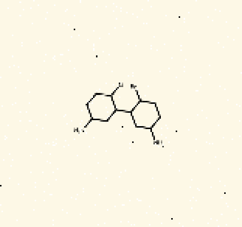 NC1CCC(Cl)C(C2CC(N)CCC2Br)C1